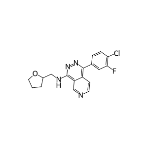 Fc1cc(-c2nnc(NCC3CCCO3)c3cnccc23)ccc1Cl